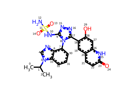 CC(C)n1cnc2c(-n3c(NS(N)(=O)=O)nnc3-c3cc4ccc(=O)[nH]c4cc3O)cccc21